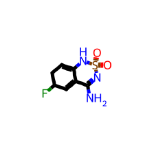 NC1=NS(=O)(=O)NC2=CCC(F)C=C21